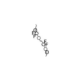 CCCCOc1ccc(C2CCC(/C=C/c3ccc(C4CCC(OCCC)CC4)c(F)c3F)CC2)c(F)c1F